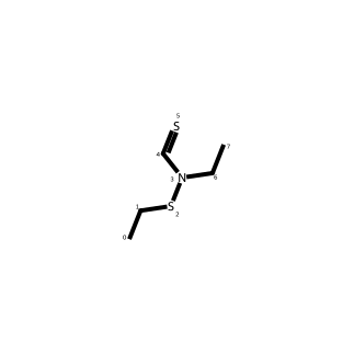 CCSN(C=S)CC